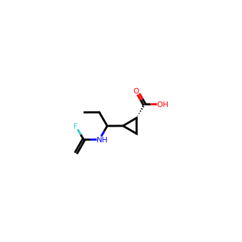 C=C(F)NC(CC)C1C[C@H]1C(=O)O